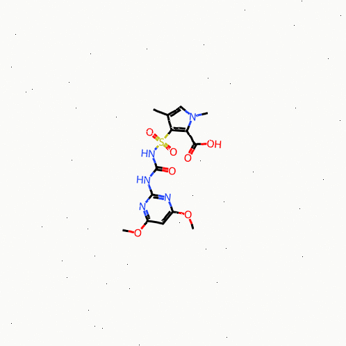 COc1cc(OC)nc(NC(=O)NS(=O)(=O)c2c(C)cn(C)c2C(=O)O)n1